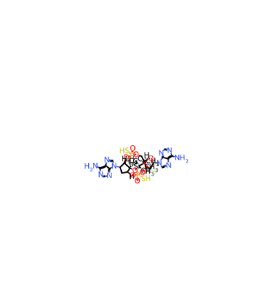 CC(C)(C)[Si](C)(C)O[C@H]1[C@H]2OP(=O)(S)OC[C@H]3O[C@@H](n4cnc5c(N)ncnc54)[C@H](F)[C@@H]3OP(=O)(S)O[C@H]1C[C@H]2n1cnc2c(N)ncnc21